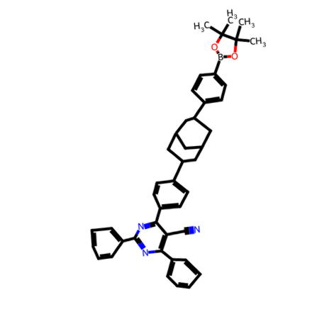 CC1(C)OB(c2ccc(C3CC4CC(C3)CC(c3ccc(-c5nc(-c6ccccc6)nc(-c6ccccc6)c5C#N)cc3)C4)cc2)OC1(C)C